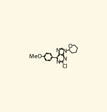 COc1ccc(-c2nc(Cl)nc3c2ncn3C2CCCCO2)cc1